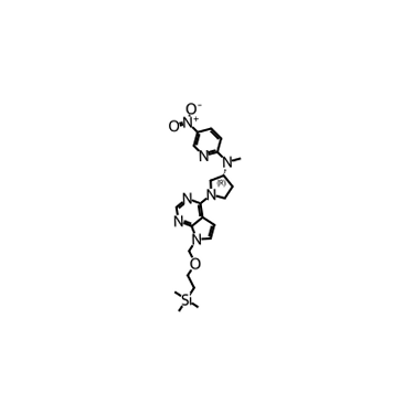 CN(c1ccc([N+](=O)[O-])cn1)[C@@H]1CCN(c2ncnc3c2ccn3COCC[Si](C)(C)C)C1